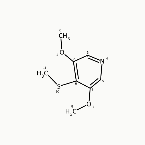 COc1[c]ncc(OC)c1SC